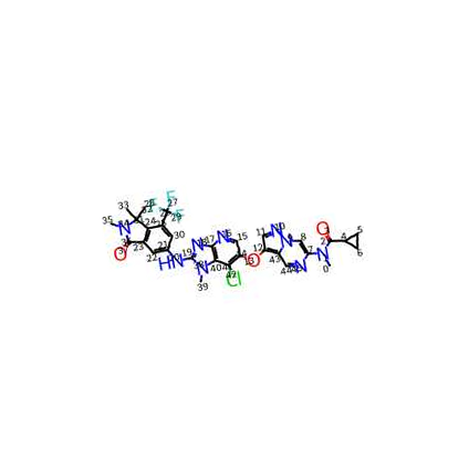 CN(C(=O)C1CC1)c1cn2ncc(Oc3cnc4nc(Nc5cc6c(c(C(F)(F)F)c5)C(C)(C)N(C)C6=O)n(C)c4c3Cl)c2cn1